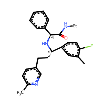 CCNC(=O)[C@@H](N[C@@H](CCc1ccc(C(F)(F)F)nc1)c1ccc(F)c(C)c1)c1ccccc1